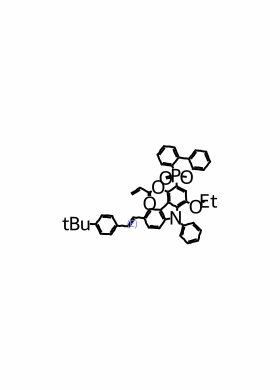 C=CC(=O)Oc1c(P2(=O)Oc3ccccc3-c3ccccc32)cc(OCC)c2c1c1cc(/C=C/c3ccc(C(C)(C)C)cc3)ccc1n2-c1ccccc1